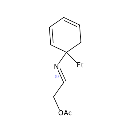 CCC1(/N=C/COC(C)=O)C=CC=CC1